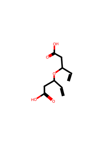 C=CC(CC(=O)O)OC(C=C)CC(=O)O